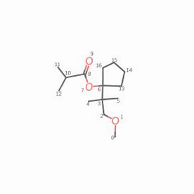 COCC(C)(C)C1(OC(=O)C(C)C)CCCC1